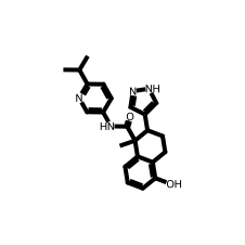 CC(C)c1ccc(NC(=O)C2(C)c3cccc(O)c3CCC2c2cn[nH]c2)cn1